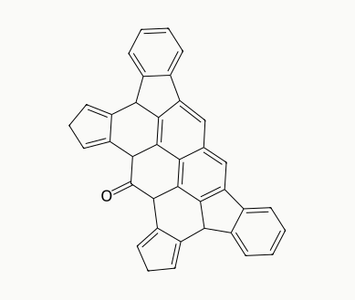 O=C1C2C3=CCC=C3C3c4ccccc4-c4cc5cc6c7c(c5c2c43)C1C1=CCC=C1C7c1ccccc1-6